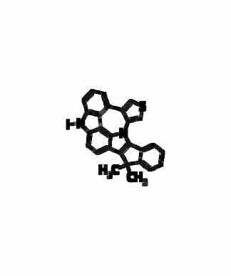 CC1(C)c2ccccc2-c2c1c1ccc3c4c5c(cccc5n3I)c3cscc3n2c14